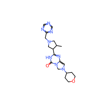 CC1CN(Cc2ncncn2)CC1C1=NC2=CN(C3CCOCC3)CN2C(=O)N1